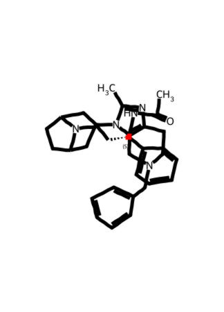 CC(=O)N[C@@H](CCN1C2CCC1CC(n1c(C)nc3c1CN(Cc1ccccc1)CC3)C2)c1ccccc1